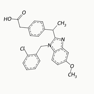 COc1ccc2c(c1)nc(C(C)c1ccc(CC(=O)O)cc1)n2Cc1ccccc1Cl